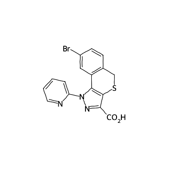 O=C(O)c1nn(-c2ccccn2)c2c1SCc1ccc(Br)cc1-2